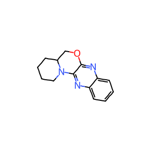 c1ccc2nc3c(nc2c1)OCC1CCCCN31